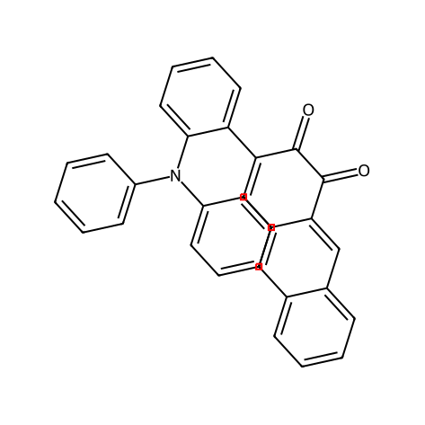 O=C1C(=O)c2cc3ccccc3cc2C=C1c1ccccc1N(c1ccccc1)c1ccccc1